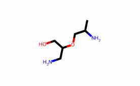 CC(N)COC(CN)CO